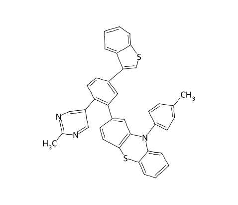 Cc1ccc(N2c3ccccc3Sc3ccc(-c4cc(-c5csc6ccccc56)ccc4-c4cnc(C)nc4)cc32)cc1